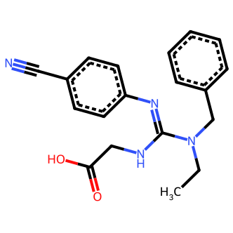 CCN(Cc1ccccc1)C(=Nc1ccc(C#N)cc1)NCC(=O)O